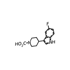 O=C(O)N1CCC(c2c[nH]c3ccc(F)cc23)CC1